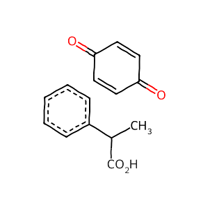 CC(C(=O)O)c1ccccc1.O=C1C=CC(=O)C=C1